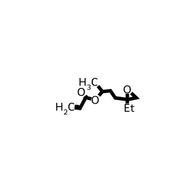 C=CC(=O)OC(C)CCC1(CC)CO1